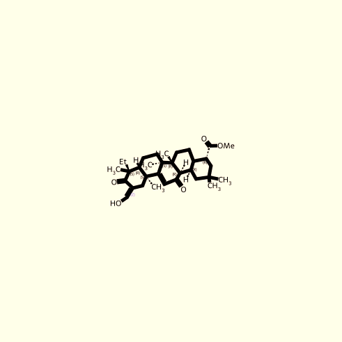 CC[C@]1(C)C(=O)/C(=C\O)C[C@]2(C)C3=CC(=O)[C@@H]4[C@@H]5CC(C)(C)C[C@@H](C(=O)OC)C5CC[C@@]4(C)[C@]3(C)CC[C@@H]12